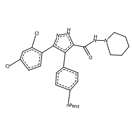 CCCCCc1ccc(-c2c(-c3ccc(Cl)cc3Cl)n[nH]c2C(=O)NN2CCCCC2)cc1